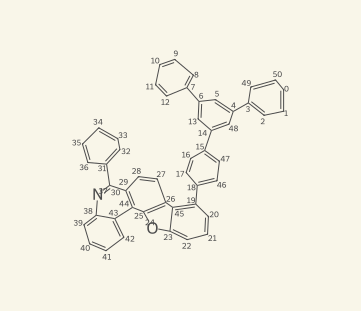 c1ccc(-c2cc(-c3ccccc3)cc(-c3ccc(-c4cccc5oc6c(ccc7c(-c8ccccc8)nc8ccccc8c76)c45)cc3)c2)cc1